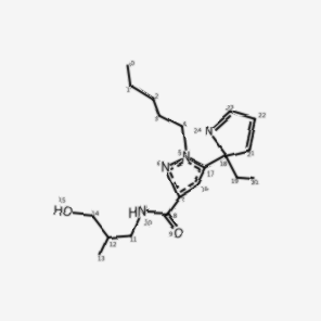 CCCCCn1nc(C(=O)NCC(C)CO)cc1C1(CC)C=CC=N1